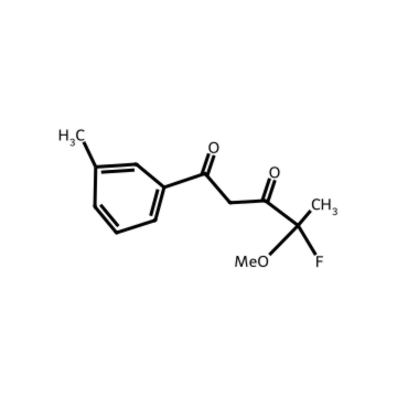 COC(C)(F)C(=O)CC(=O)c1cccc(C)c1